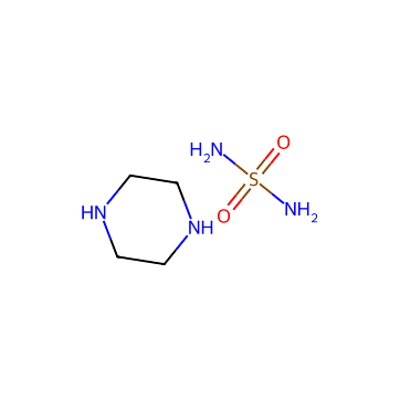 C1CNCCN1.NS(N)(=O)=O